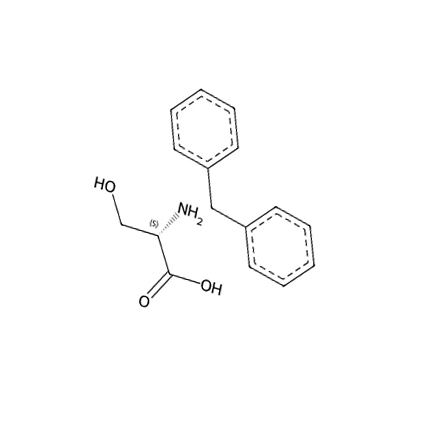 N[C@@H](CO)C(=O)O.c1ccc(Cc2ccccc2)cc1